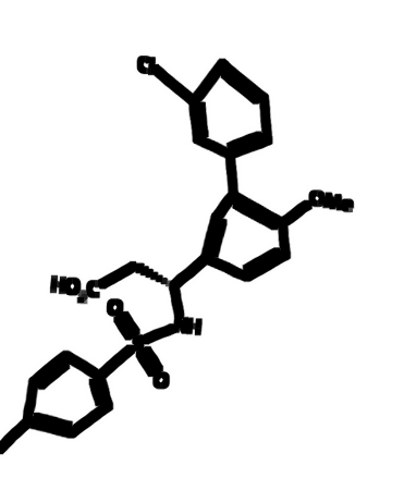 COc1ccc([C@@H](CC(=O)O)NS(=O)(=O)c2ccc(C)cc2)cc1-c1cccc(Cl)c1